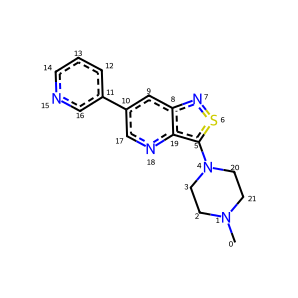 CN1CCN(c2snc3cc(-c4cccnc4)cnc23)CC1